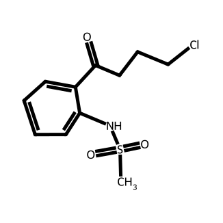 CS(=O)(=O)Nc1ccccc1C(=O)CCCCl